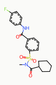 CN(C(=O)C1CCCCC1)S(=O)(=O)c1cccc(C(=O)Nc2ccc(F)cc2)c1